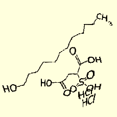 CCCCCCCCCCCCO.Cl.Cl.O=C(O)CC(C(=O)O)S(=O)(=O)O